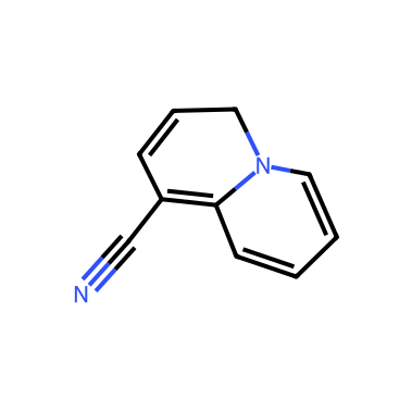 N#CC1=C2C=CC=CN2CC=C1